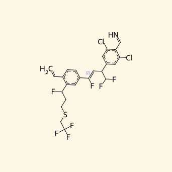 C=Cc1ccc(/C(F)=C/C(c2cc(Cl)c(C=N)c(Cl)c2)C(F)F)cc1C(F)CCSCC(F)(F)F